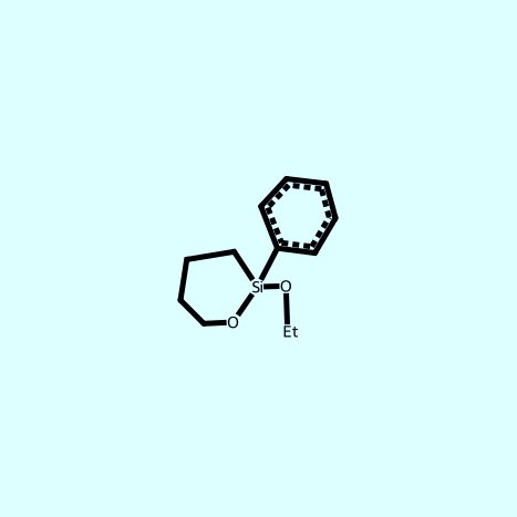 CCO[Si]1(c2ccccc2)CCCCO1